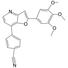 COc1cc(-c2cc3nccc(-c4ccc(C#N)cc4)c3o2)cc(OC)c1OC